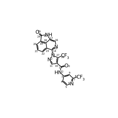 O=C(Nc1ccnc(C(F)(F)F)c1)c1cnn(-c2ncc3c4c(cccc24)C(=O)N3)c1C(F)(F)F